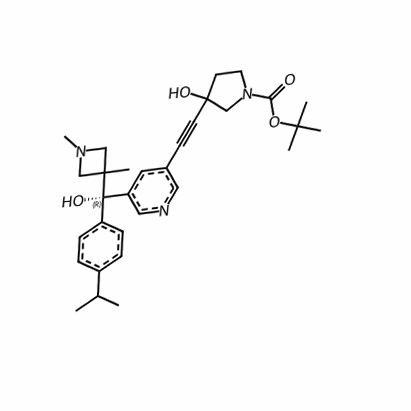 CC(C)c1ccc([C@](O)(c2cncc(C#CC3(O)CCN(C(=O)OC(C)(C)C)C3)c2)C2(C)CN(C)C2)cc1